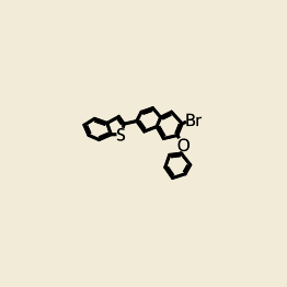 Brc1cc2ccc(-c3cc4ccccc4s3)cc2cc1Oc1ccccc1